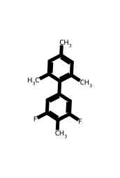 Cc1cc(C)c(-c2cc(F)c(C)c(F)c2)c(C)c1